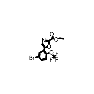 CCOC(=O)c1ncc(-c2cc(Br)ccc2OC(F)(F)F)o1